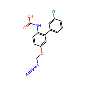 [N-]=[N+]=NCOc1ccc(NC(=O)O)c(-c2cccc(Cl)c2)c1